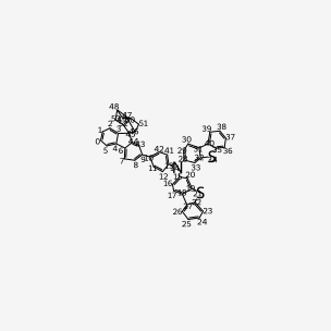 c1ccc2c(c1)-c1ccc(-c3ccc(N(c4ccc5c(c4)sc4ccccc45)c4ccc5c(c4)sc4ccccc45)cc3)cc1C21C2CC3CC(C2)C1C3